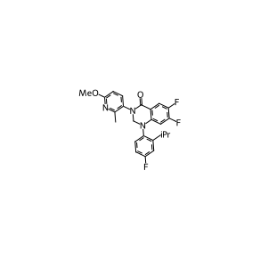 COc1ccc(N2CN(c3ccc(F)cc3C(C)C)c3cc(F)c(F)cc3C2=O)c(C)n1